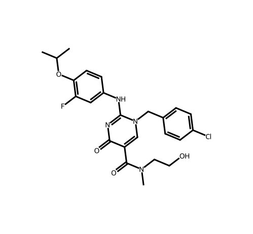 CC(C)Oc1ccc(Nc2nc(=O)c(C(=O)N(C)CCO)cn2Cc2ccc(Cl)cc2)cc1F